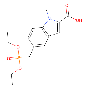 CCOP(=O)(Cc1ccc2c(c1)cc(C(=O)O)n2C)OCC